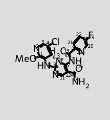 COc1ncc(Cl)cc1Nc1ncc(C(N)=O)c(N[C@@H](C)c2ccc(F)cn2)n1